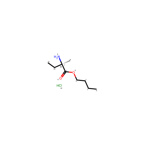 CCCCOC(=O)[C@](C)(N)CC.Cl